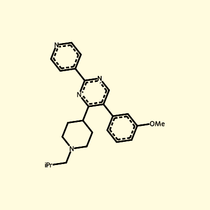 COc1cccc(-c2cnc(-c3ccncc3)nc2C2CCN(CC(C)C)CC2)c1